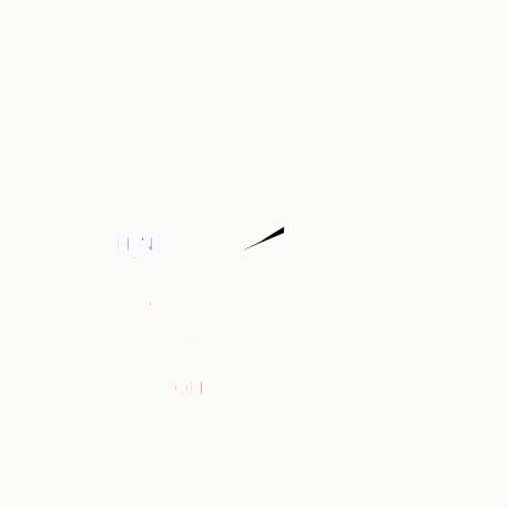 CC(C)C(C)C[C@H](CN)CC(=O)O